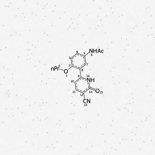 CCCOc1ccc(NC(C)=O)cc1-c1ccc(C#N)c(=O)[nH]1